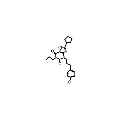 CCCn1c(=O)c2[nH]c(C3CCCC3)nc2n(CCCc2ccc(OC)cc2)c1=O